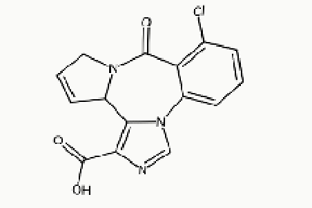 O=C(O)c1ncn2c1C1C=CCN1C(=O)c1c(Cl)cccc1-2